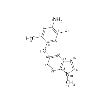 Cc1cc(N)c(F)cc1Oc1ccc2c(c1)ncn2C